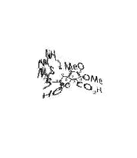 COc1cc(OC)c(C(=O)O)c2c1CC(Sc1nnc(N)s1)B(O)O2